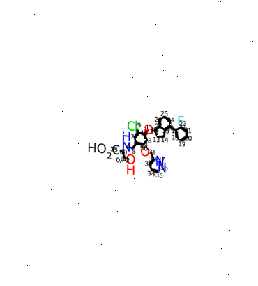 C[C@@H](O)[C@H](NCc1cc(Cl)c(O[C@H]2CCc3c(-c4ccccc4F)cccc32)cc1OCc1cccnn1)C(=O)O